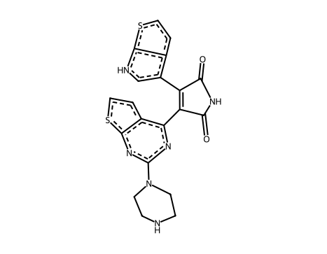 O=C1NC(=O)C(c2c[nH]c3sccc23)=C1c1nc(N2CCNCC2)nc2sccc12